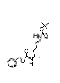 C[C@@H](CCCCNC(=O)OC(C)(C)C)NC(=O)OCc1ccccc1